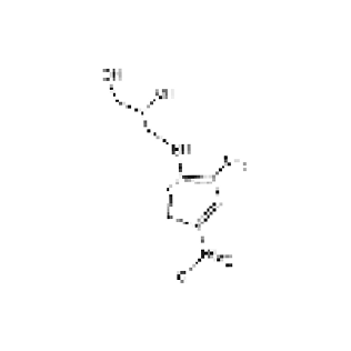 Cc1cc([N+](=O)[O-])ccc1NCC(O)CO